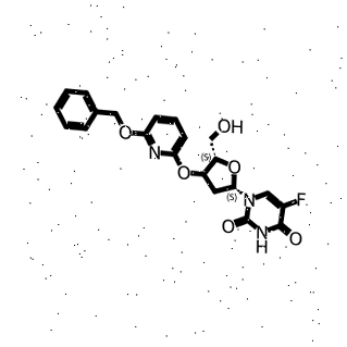 O=c1[nH]c(=O)n([C@@H]2CC(Oc3cccc(OCc4ccccc4)n3)[C@H](CO)O2)cc1F